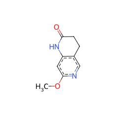 COc1cc2c(cn1)CCC(=O)N2